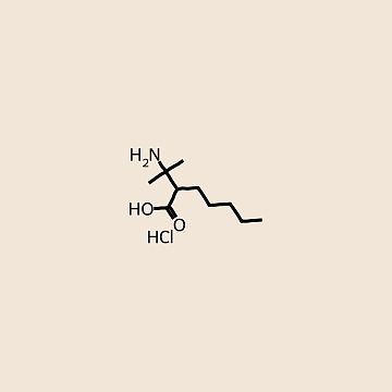 CCCCCC(C(=O)O)C(C)(C)N.Cl